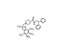 Cc1c(C)c2c(c(C)c1N)CC(C)(CN1CCC(C(=O)NCC(c3ccccc3)c3ccccc3)CC1)O2